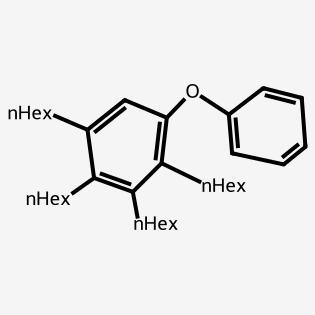 CCCCCCc1cc(Oc2ccccc2)c(CCCCCC)c(CCCCCC)c1CCCCCC